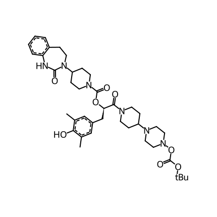 Cc1cc(C[C@@H](OC(=O)N2CCC(N3CCc4ccccc4NC3=O)CC2)C(=O)N2CCC(N3CCN(OC(=O)OC(C)(C)C)CC3)CC2)cc(C)c1O